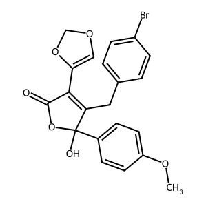 COc1ccc(C2(O)OC(=O)C(C3=COCO3)=C2Cc2ccc(Br)cc2)cc1